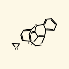 C1CO1.Cc1c2c3ccccc3n(c1=O)-c1cccc(c1)CO2